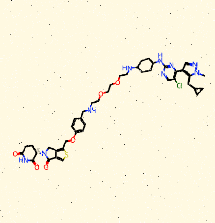 Cn1ncc(-c2nc(NC3CCC(NCCOCCOCCNCc4ccc(OCc5scc6c5CN([C@H]5CCC(=O)NC5=O)C6=O)cc4)CC3)ncc2Cl)c1CC1CC1